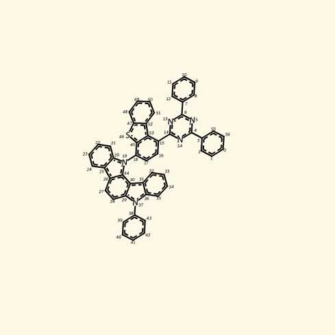 c1ccc(-c2nc(-c3ccccc3)nc(-c3ccc(-n4c5ccccc5c5ccc6c(c7ccccc7n6-c6ccccc6)c54)c4sc5ccccc5c34)n2)cc1